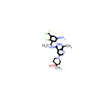 Cc1nnc(N[C@H](C)c2cc(N)cc(C(F)F)c2F)c2cc(N3CCC(C)(O)CC3)cnc12